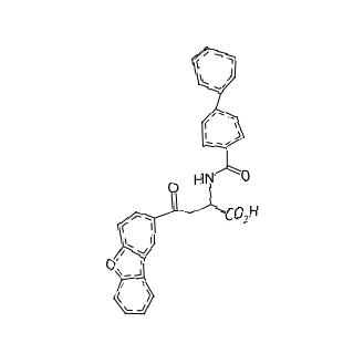 O=C(CC(NC(=O)c1ccc(-c2ccccc2)cc1)C(=O)O)c1ccc2oc3ccccc3c2c1